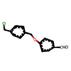 O=Cc1ccc(OCc2ccc(CCl)cc2)cc1